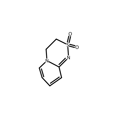 O=S1(=O)CCN2C=CC=CC2=N1